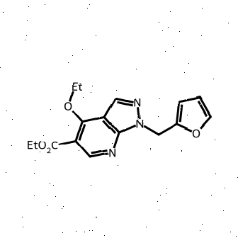 CCOC(=O)c1cnc2c(cnn2Cc2ccco2)c1OCC